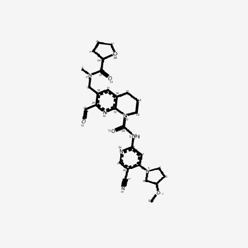 COC1CCN(c2cc(NC(=O)N3CCCc4cc(CN(C)C(=O)C5CCCO5)c(C=O)nc43)ncc2C#N)C1